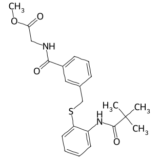 COC(=O)CNC(=O)c1cccc(CSc2ccccc2NC(=O)C(C)(C)C)c1